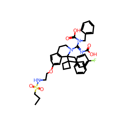 CCCS(=O)(=O)NCCOc1ccc2c(c1)C(Cc1ccccc1)(C1(c3ccc(F)cc3)CCC1)N(C(=NC(=O)O)N(Cc1ccccc1)C(=O)O)CC2